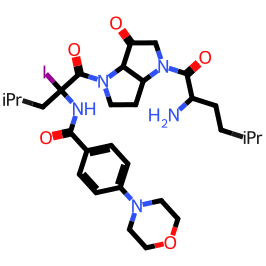 CC(C)CCC(N)C(=O)N1CC(=O)C2C1CCN2C(=O)C(I)(CC(C)C)NC(=O)c1ccc(N2CCOCC2)cc1